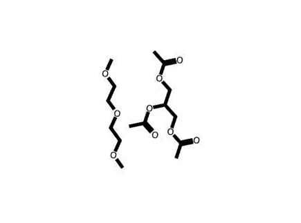 CC(=O)OCC(COC(C)=O)OC(C)=O.COCCOCCOC